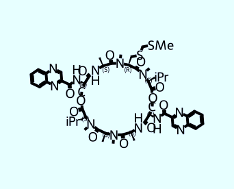 CSCSC[C@H]1C(=O)N(C)[C@@H](C(C)C)C(=O)OC[C@@H](NC(=O)c2cnc3ccccc3n2)C(=O)N[C@@H](C)C(=O)N(C)[C@@H](C)C(=O)N(C)[C@@H](C(C)C)C(=O)OC[C@@H](NC(=O)c2cnc3ccccc3n2)C(=O)N[C@@H](C)C(=O)N1C